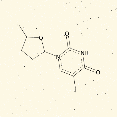 [CH2]C1CCC(n2cc(I)c(=O)[nH]c2=O)O1